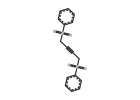 O=S(=O)(CC#CCS(=O)(=O)c1ccccc1)c1ccccc1